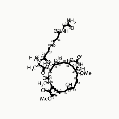 COc1cc2cc(c1Cl)N(C)C(=O)C[C@H](OC(=O)[C@H](C)N(C)C(=O)CCSSCCC(=O)NCC(N)=O)[C@]1(C)O[C@H]1C[C@@H]1C[C@@](O)(NC(=O)O1)[C@H](OC)/C=C/C=C(\C)C2